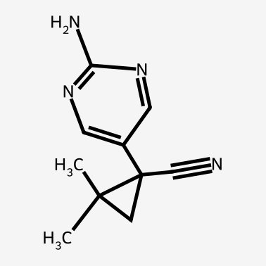 CC1(C)CC1(C#N)c1cnc(N)nc1